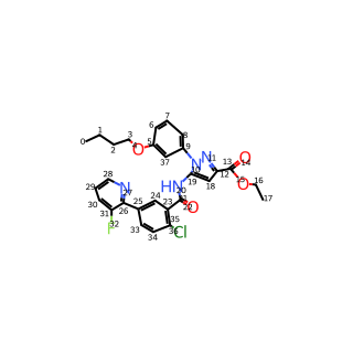 CCCCOc1cccc(-n2nc(C(=O)OCC)cc2NC(=O)c2cc(-c3ncccc3F)ccc2Cl)c1